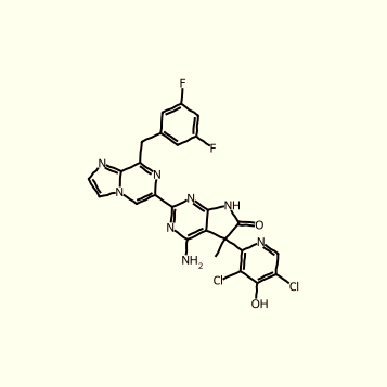 CC1(c2ncc(Cl)c(O)c2Cl)C(=O)Nc2nc(-c3cn4ccnc4c(Cc4cc(F)cc(F)c4)n3)nc(N)c21